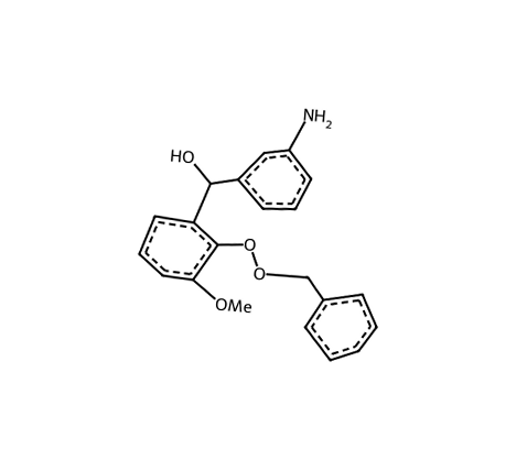 COc1cccc(C(O)c2cccc(N)c2)c1OOCc1ccccc1